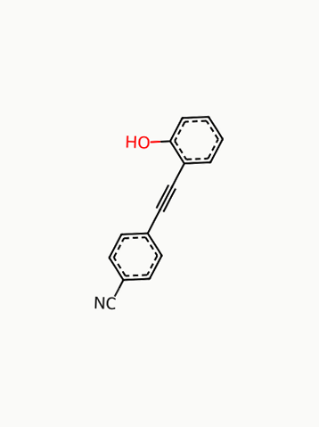 N#Cc1ccc(C#Cc2ccccc2O)cc1